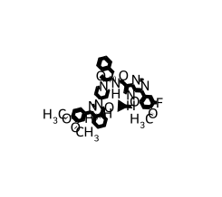 COc1cc(OCC2CC2)c(-c2ncnc3c(C(=O)N[C@H](Cc4ccccc4)C(=O)N4CCC(N5N=C(c6ccc(OC)c(OC)c6)[C@H]6CCCC[C@H]6C5=O)CC4)c[nH]c23)cc1F